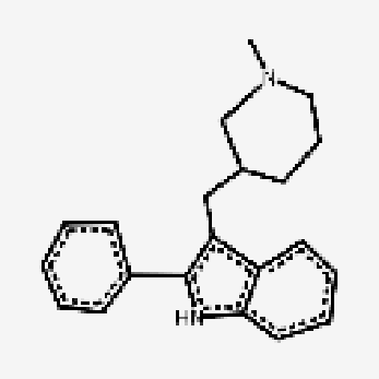 CN1CCCC(Cc2c(-c3ccccc3)[nH]c3ccccc23)C1